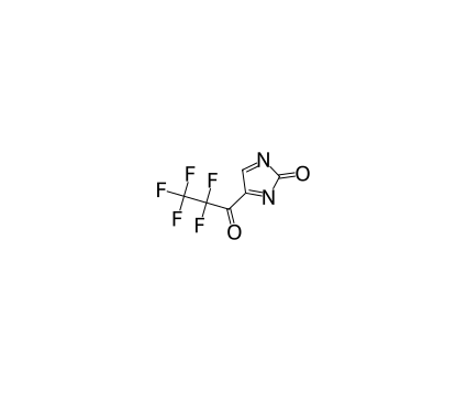 O=C1N=CC(C(=O)C(F)(F)C(F)(F)F)=N1